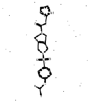 O=C(Cc1ccc[nH]1)N1CC2=C(C1)CN(S(=O)(=O)c1ccc(OC(F)F)cc1)C2